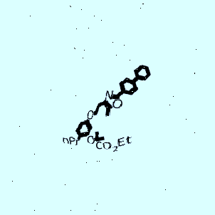 CCCc1ccc(OCCc2nc(-c3ccc(-c4ccccc4)cc3)oc2C)cc1OC(C)(C)C(=O)OCC